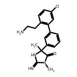 CN1C(=N)NC(C)(c2cccc(-c3cc(Cl)ccc3CCN)c2)C1=O